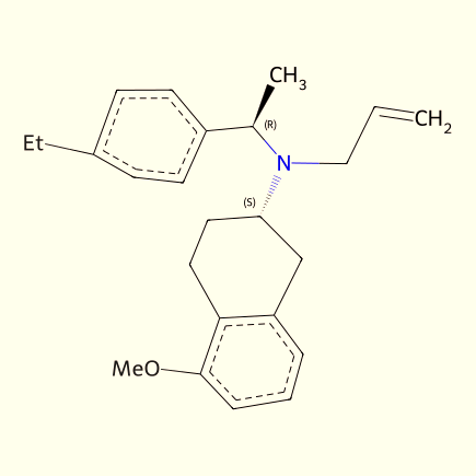 C=CCN([C@H]1CCc2c(cccc2OC)C1)[C@H](C)c1ccc(CC)cc1